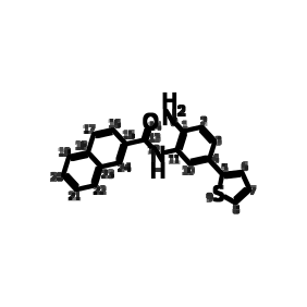 Nc1ccc(-c2cccs2)cc1NC(=O)c1ccc2ccccc2c1